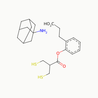 NC12CC3CC(CC(C3)C1)C2.O=C(O)CCc1ccccc1OC(=O)C(CS)CS